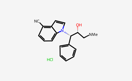 CNC[C@@H](O)[C@H](c1ccccc1)n1ccc2c(C#N)cccc21.Cl